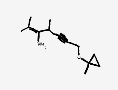 CC(C)=C(N)C(C)C#CCOC1(C)CC1